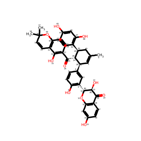 CC1=C[C@@H](c2ccc(O)c([C@H]3Oc4cc(O)ccc4C(=O)[C@@H]3O)c2)[C@H](C(=O)c2ccc3c(c2O)C=CC(C)(C)O3)[C@@H](c2ccc(O)cc2O)C1